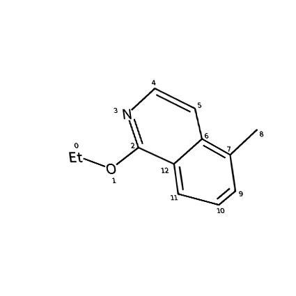 CCOc1nccc2c(C)cccc12